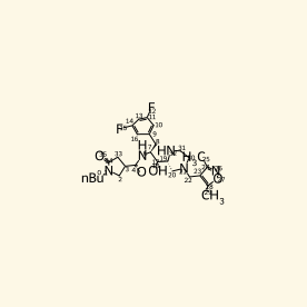 CCCCN1CC(C(=O)N[C@@H](Cc2cc(F)cc(F)c2)[C@H](O)[C@H]2CN(Cc3c(C)noc3C)CCN2)CC1=O